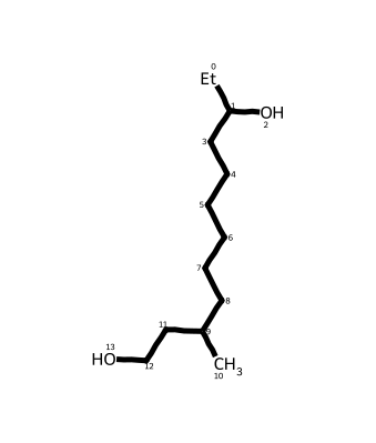 CCC(O)CCCCCCC(C)CCO